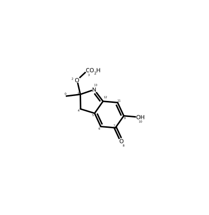 CC1(OC(=O)O)CC2=CC(=O)C(O)=CC2=N1